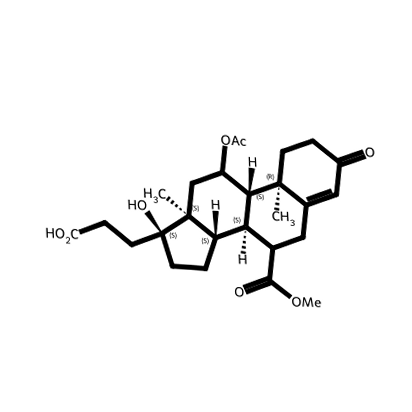 COC(=O)C1CC2=CC(=O)CC[C@]2(C)[C@H]2C(OC(C)=O)C[C@@]3(C)[C@@H](CC[C@]3(O)CCC(=O)O)[C@H]12